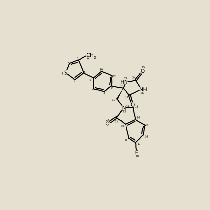 Cc1cscc1-c1ccc([C@]2(CN3Cc4ccc(F)cc4C3=O)NC(=O)NC2=O)cc1